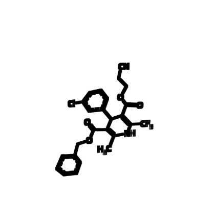 CC1=C(C(=O)OCc2ccccc2)C(c2cccc(Cl)c2)C(C(=O)OCCC#N)=C(C(F)(F)F)N1